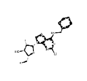 [O]C[C@H]1O[C@@H](n2cnc3c(NCc4ccccc4)nc(Cl)nc32)[C@@H](F)[C@@H]1O